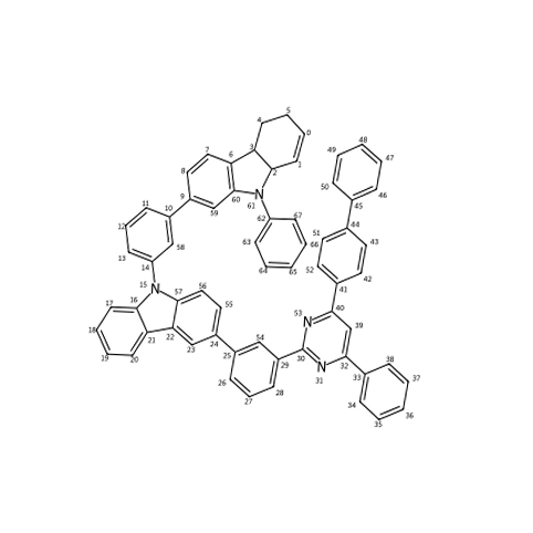 C1=CC2C(CC1)c1ccc(-c3cccc(-n4c5ccccc5c5cc(-c6cccc(-c7nc(-c8ccccc8)cc(-c8ccc(-c9ccccc9)cc8)n7)c6)ccc54)c3)cc1N2c1ccccc1